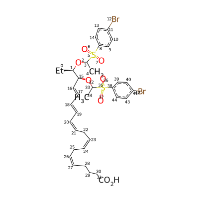 CC[C@@H](OC(C)S(=O)(=O)c1ccc(Br)cc1)[C@H](/C=C/C=C/C=C\C/C=C\C/C=C\CCCC(=O)O)OC(C)S(=O)(=O)c1ccc(Br)cc1